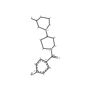 CC1CCCN(C2CCN(C(=O)c3ccc(C(C)C)cc3)CC2)C1